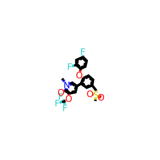 Cn1cc(-c2cc(CS(C)(=O)=O)ccc2Oc2ccc(F)cc2F)cc(OC(F)(F)F)c1=O